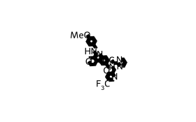 COc1ccc(CNc2nc3ccc(C(=O)N(Cc4ccc(C(F)(F)F)cn4)C(C)c4ncccn4)cc3c3c2COCC3)cc1